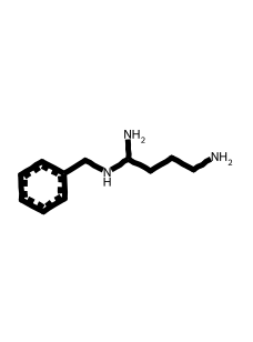 NCCCC(N)NCc1ccccc1